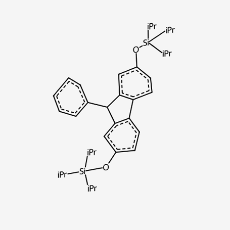 CC(C)[Si](Oc1ccc2c(c1)C(c1ccccc1)c1cc(O[Si](C(C)C)(C(C)C)C(C)C)ccc1-2)(C(C)C)C(C)C